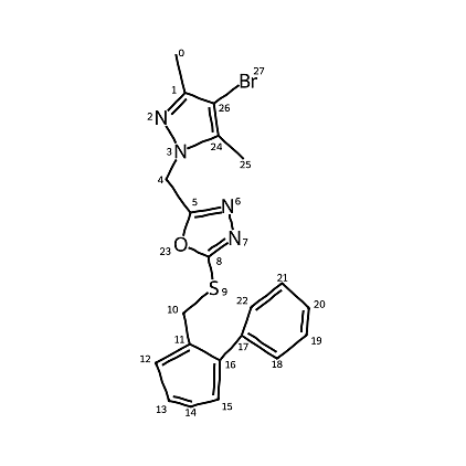 Cc1nn(Cc2nnc(SCc3ccccc3-c3ccccc3)o2)c(C)c1Br